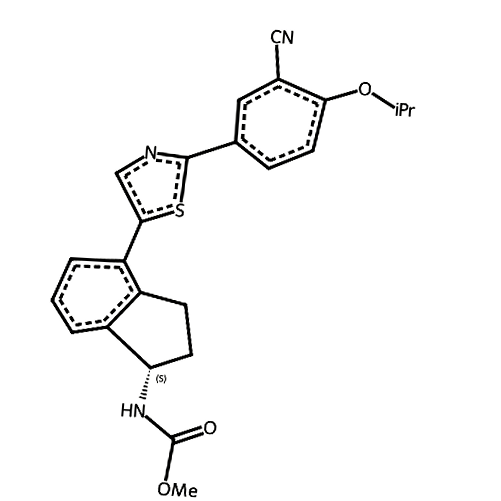 COC(=O)N[C@H]1CCc2c(-c3cnc(-c4ccc(OC(C)C)c(C#N)c4)s3)cccc21